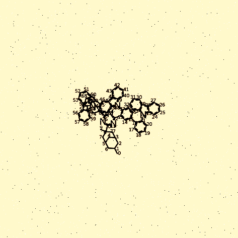 CC1CC2CC(C1)CC(C)(c1nc(-c3cc(-c4ccccc4-n4c5ccccc5c5ccccc54)ccc3-n3c4ccccc4c4cc(-n5c6ccccc6c6ccccc65)ccc43)nc(C34CC5CC(CP(C5)C3)C4)n1)C2